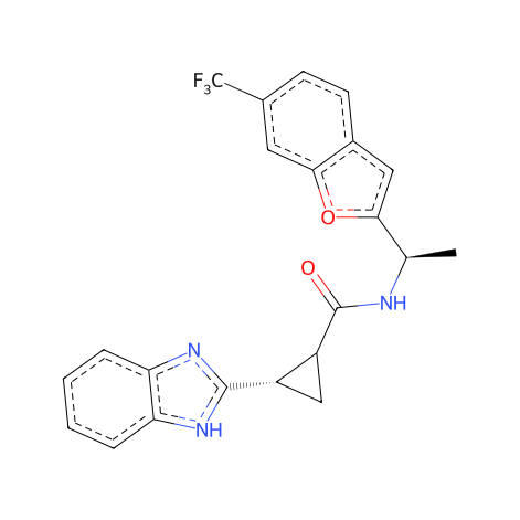 C[C@@H](NC(=O)C1C[C@@H]1c1nc2ccccc2[nH]1)c1cc2ccc(C(F)(F)F)cc2o1